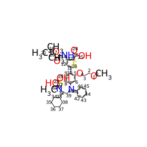 COCCOc1cc2c(cc1-c1cc(NC(=O)OC(C)(C)C)c(C(=O)O)s1)S(O)(O)N(C)C(C1CCCCC1)CN2c1ccccc1